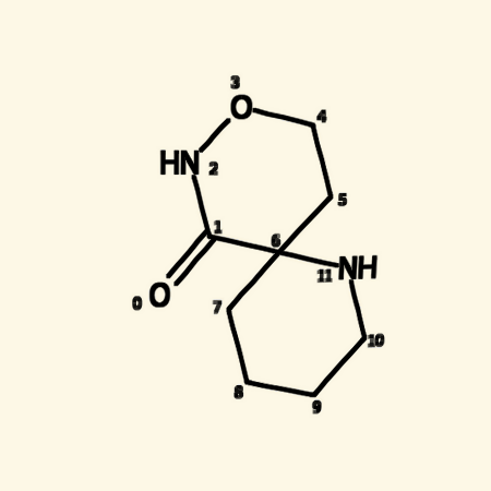 O=C1NOCCC12CCCCN2